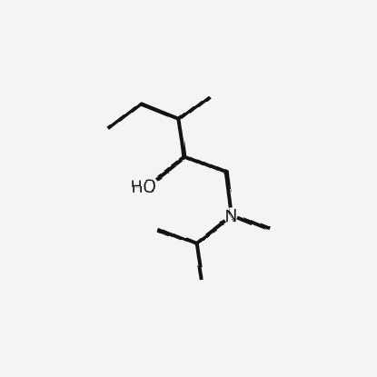 CCC(C)C(O)CN(C)C(C)C